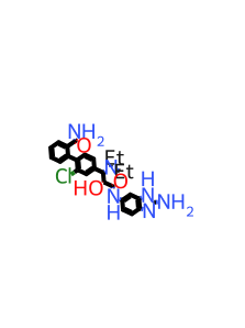 CCN(CC)C(c1ccc(-c2ccccc2C(N)=O)c(Cl)c1)C(O)C(=O)Nc1ccc2nc(N)[nH]c2c1